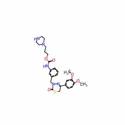 COc1ccc(C2=NN(Cc3cccc(NC(=O)OCCCN4CCNCC4)c3)C(=O)SC2)cc1OC